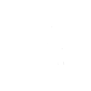 Cc1cc2c(s1)CSc1ccccc1-2